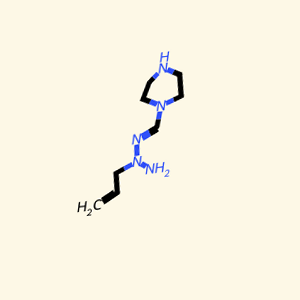 C=CCN(N)N=CN1CCNCC1